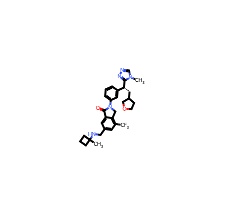 Cn1cnnc1[C@H](CC1CCOC1)c1cccc(N2Cc3c(cc(CNC4(C)CCC4)cc3C(F)(F)F)C2=O)c1